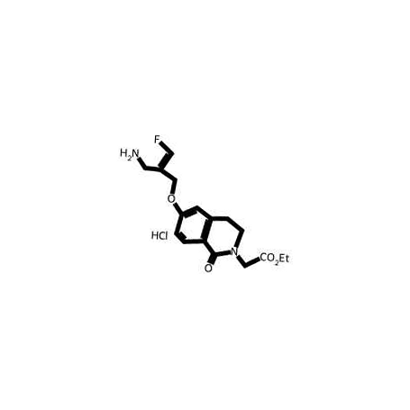 CCOC(=O)CN1CCc2cc(OC/C(=C/F)CN)ccc2C1=O.Cl